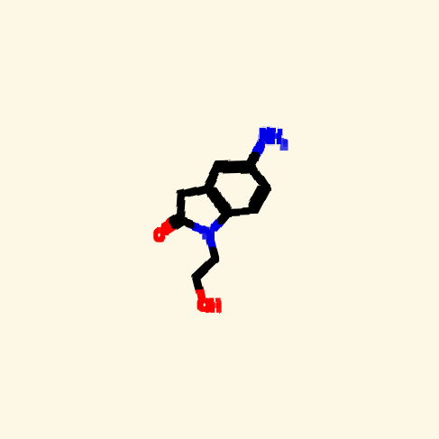 Nc1ccc2c(c1)CC(=O)N2CCO